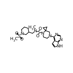 CN(CC1CCCN(S(C)(=O)=O)C1)S(=O)(=O)N1CCN(c2ncnc3[nH]ccc23)CC12CC2